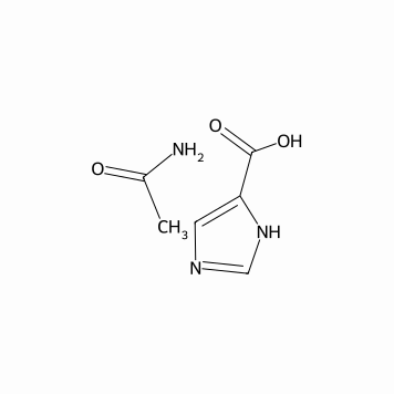 CC(N)=O.O=C(O)c1cnc[nH]1